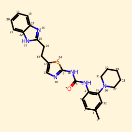 Cc1ccc(NC(=O)Nc2ncc(CCc3nc4ccccc4[nH]3)s2)c(N2CCCCC2)c1